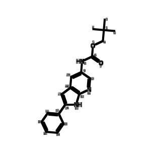 CC(C)(C)COC(=O)Nc1cnc2[nH]c(-c3ccccc3)cc2c1